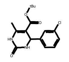 CC1=C(C(=O)OC(C)(C)C)C(c2cccc(Cl)c2)NC(=O)N1